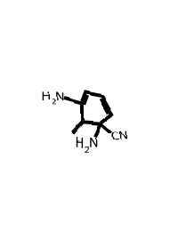 CC1C(N)=CC=CC1(N)C#N